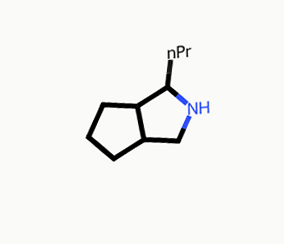 CCCC1NCC2CCCC21